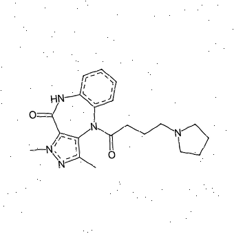 Cc1nn(C)c2c1N(C(=O)CCCN1CCCC1)c1ccccc1NC2=O